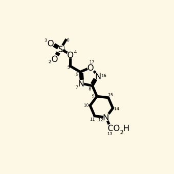 CS(=O)(=O)OCc1nc(C2CCN(C(=O)O)CC2)no1